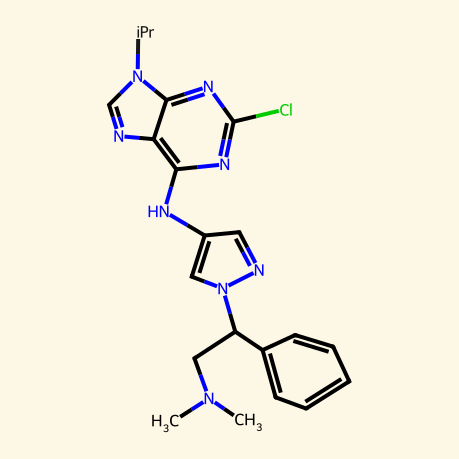 CC(C)n1cnc2c(Nc3cnn(C(CN(C)C)c4ccccc4)c3)nc(Cl)nc21